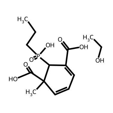 CCCP(=O)(O)C1C(C(=O)O)=CC=CC1(C)C(=O)O.CCO